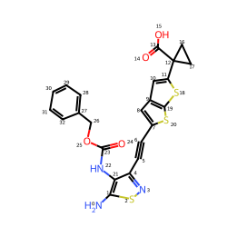 Nc1snc(C#Cc2cc3cc(C4(C(=O)O)CC4)sc3s2)c1NC(=O)OCc1ccccc1